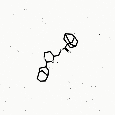 O=C(OCC1CCOC(C2CC3CCCC(C3)C2)O1)C12CC3CC(CC(C3)C1)C2